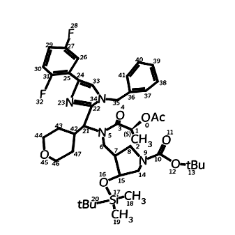 CC(=O)O[C@@H](C)C(=O)N(CC1CN(C(=O)OC(C)(C)C)CC1O[Si](C)(C)C(C)(C)C)C(c1nc(-c2cc(F)ccc2F)cn1Cc1ccccc1)C1CCOCC1